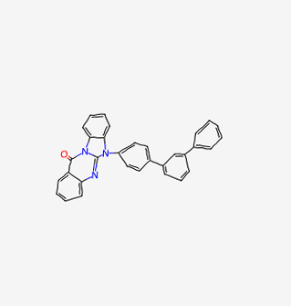 O=c1c2ccccc2nc2n(-c3ccc(-c4cccc(-c5ccccc5)c4)cc3)c3ccccc3n12